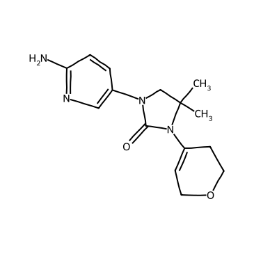 CC1(C)CN(c2ccc(N)nc2)C(=O)N1C1=CCOCC1